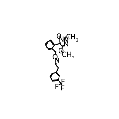 COC1=NN(C)[N+](=O)C1c1ccccc1CON=CCc1cccc(C(F)(F)F)c1